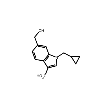 O=C(O)c1cn(CC2CC2)c2cc(CO)ccc12